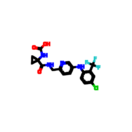 O=C(O)NC1(C(=O)NCc2ccc(Nc3ccc(Cl)cc3C(F)(F)F)cn2)CC1